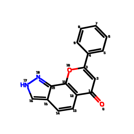 O=c1cc(-c2ccccc2)oc2c1ccc1c[nH]nc12